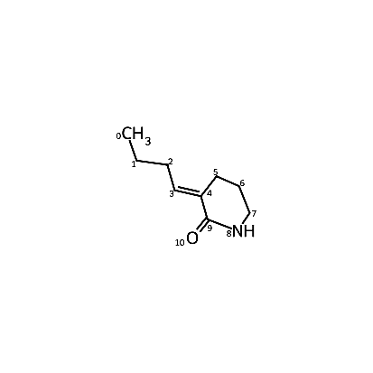 CCC/C=C1\CCCNC1=O